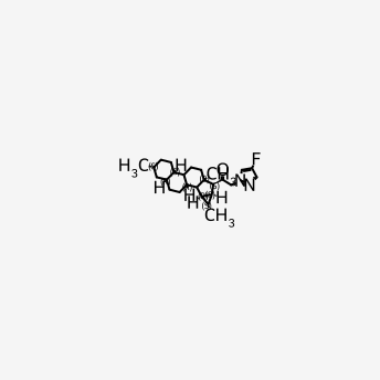 C[C@H]1CC[C@@H]2C3CC[C@@]4(C)C([C@@H]3CC[C@@H]2C1)[C@@H]1[C@H](C)[C@@H]1[C@@H]4C(=O)Cn1cc(F)cn1